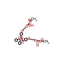 C=CC(=O)OCC(O)COCCCCOc1ccc(C(=O)O[C@H](c2ccccc2)[C@H](OC(=O)c2ccc(OCCCCOCC(O)COC(=O)C=C)cc2)c2ccccc2)cc1